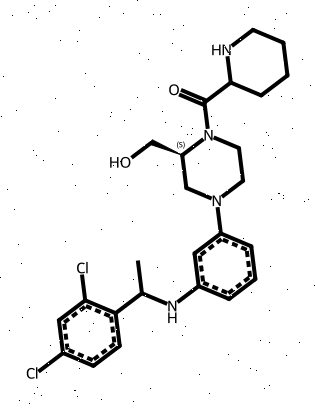 CC(Nc1cccc(N2CCN(C(=O)C3CCCCN3)[C@H](CO)C2)c1)c1ccc(Cl)cc1Cl